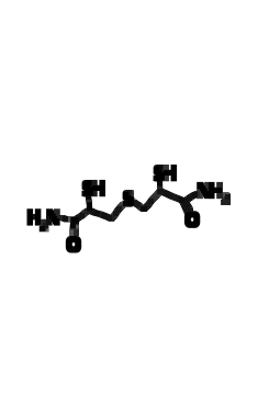 NC(=O)C(S)CSCC(S)C(N)=O